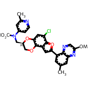 COc1cnc2c(-c3cc4c5c(cc(Cl)c4o3)O[C@H](CN(C(=O)O)c3ccnc(C)c3)CO5)cc(C)cc2n1